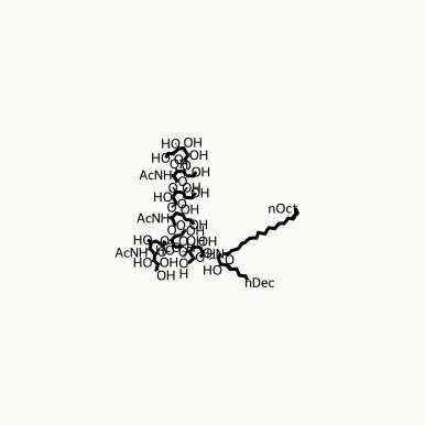 CCCCCCCC/C=C\CCCCCCCCCCCCCC(=O)N[C@@H](CO[C@@H]1OC(CO)[C@@H](O[C@@H]2OC(CO)[C@H](O[C@@H]3OC(CO)[C@H](O)[C@H](O[C@@H]4OC(CO)[C@H](O)[C@H](O[C@@H]5OC(CO)[C@@H](O[C@@H]6OC(CO)[C@H](O)[C@H](O)C6O)[C@H](O)C5NC(C)=O)C4O)C3NC(C)=O)[C@H](O[C@]3(C(=O)O)CC(O)[C@@H](NC(C)=O)C([C@H](O)[C@H](O)CO)O3)C2O)[C@H](O)C1O)[C@H](O)/C=C/CCCCCCCCCCCCC